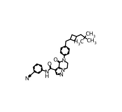 CC(C)(C)CC1CC(Cc2ccc(N3CCn4ncc(C(=O)Nc5cccc(C#N)c5)c4C3=O)cc2)C1